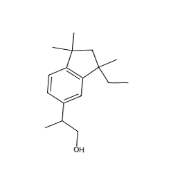 CCC1(C)CC(C)(C)c2ccc(C(C)CO)cc21